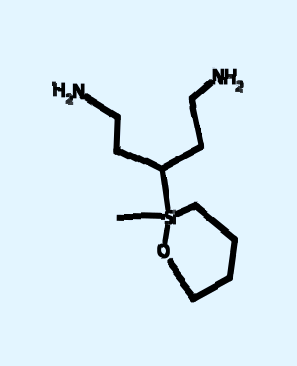 C[Si]1(C(CCN)CCN)CCCCO1